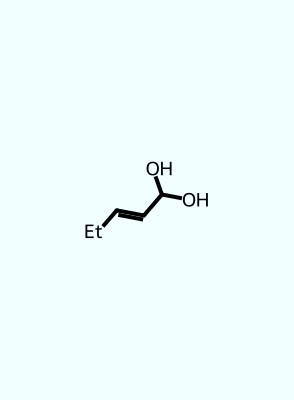 CCC=CC(O)O